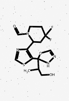 CC(CO)C1(c2scnc2C2CC(F)(F)CCN2C=O)NN=CO1